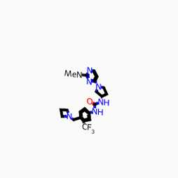 CNc1nccc(N2CC[C@H](NC(=O)Nc3ccc(CN4CCC4)c(C(F)(F)F)c3)C2)n1